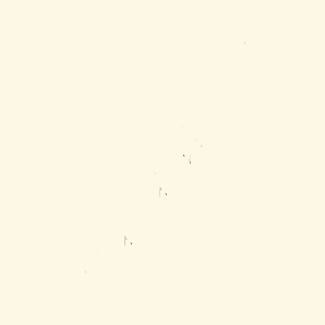 CC(C)(C)OC(=O)N1CCC(N2CCN(S(=O)(=O)c3ccc4cc(Cl)ccc4c3)CC2=O)CC1